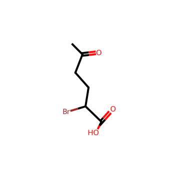 CC(=O)CCC(Br)C(=O)O